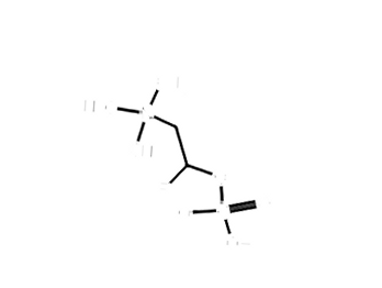 C[N+](C)(C)CC(F)OP(=O)([O-])O